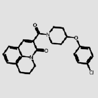 O=C(c1cc2cccc3c2n(c1=O)CCC3)N1CCC(Oc2ccc(Cl)cc2)CC1